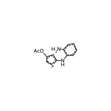 CC(=O)Oc1csc(Nc2ccccc2N)c1